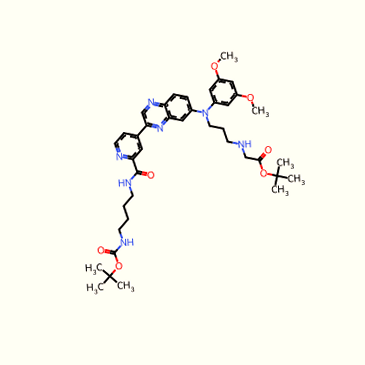 COc1cc(OC)cc(N(CCCNCC(=O)OC(C)(C)C)c2ccc3ncc(-c4ccnc(C(=O)NCCCCNC(=O)OC(C)(C)C)c4)nc3c2)c1